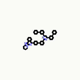 C1=Cc2nc3c4ccccc4c(-c4ccc(-c5cccc(-c6nc(-c7cccc(-c8ccccc8)c7)cc(-c7cccc(-c8ccccc8)c7)n6)c5)cc4)nc3n2CC1